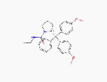 CCNC(=O)N1CCC[C@@H]1C(c1ccccc1)(c1ccc(OC)cc1)c1ccc(OC)cc1